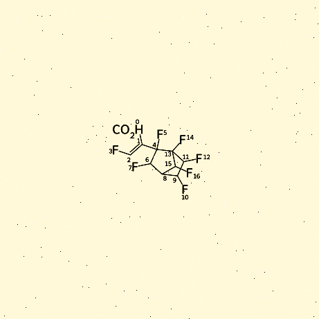 O=C(O)C(=CF)C1(F)C(F)C2C(F)C(F)C1(F)C2F